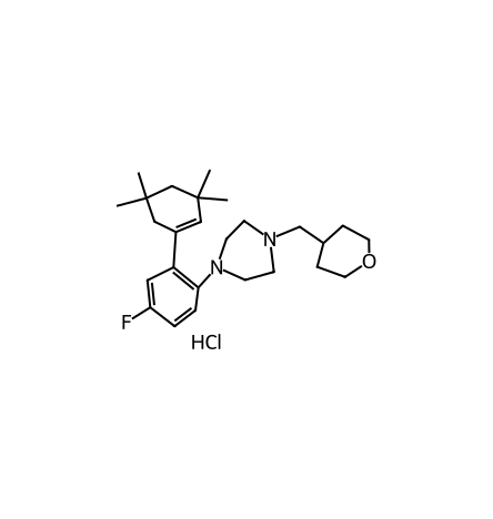 CC1(C)C=C(c2cc(F)ccc2N2CCN(CC3CCOCC3)CC2)CC(C)(C)C1.Cl